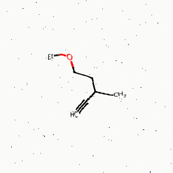 C#CC(C)CCOCC